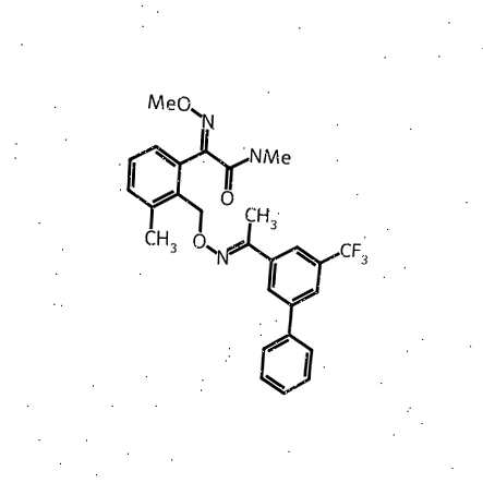 CNC(=O)/C(=N/OC)c1cccc(C)c1CO/N=C(\C)c1cc(-c2ccccc2)cc(C(F)(F)F)c1